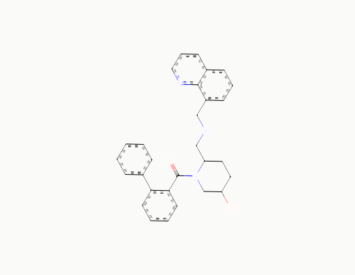 O=C(c1ccccc1-c1ccccc1)N1CC(O)CCC1CNCc1cccc2cccnc12